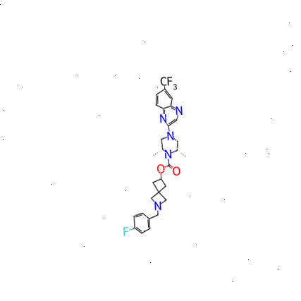 C[C@@H]1CN(c2cnc3cc(C(F)(F)F)ccc3n2)C[C@H](C)N1C(=O)OC1CC2(C1)CN(Cc1ccc(F)cc1)C2